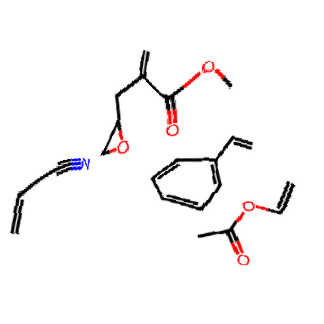 C=C(CC1CO1)C(=O)OC.C=CC#N.C=COC(C)=O.C=Cc1ccccc1